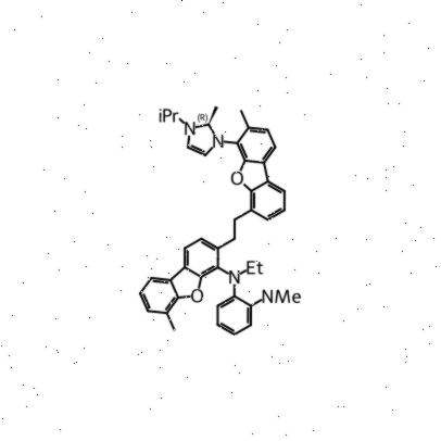 CCN(c1ccccc1NC)c1c(CCc2cccc3c2oc2c(N4C=CN(C(C)C)[C@H]4C)c(C)ccc23)ccc2c1oc1c(C)cccc12